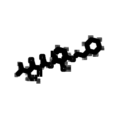 CC(C)[C@H](N)C(=O)NC(=O)Oc1nccc(OCCC2CCCCC2)c1O